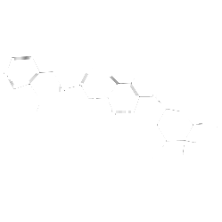 COc1cnccc1CNC(=O)Cn1ncc(N[C@@H]2C[C@H](C)C(C)(C)[C@H](C)[C@H]2C)c(Cl)c1=O